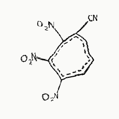 N#Cc1ccc([N+](=O)[O-])c([N+](=O)[O-])c1[N+](=O)[O-]